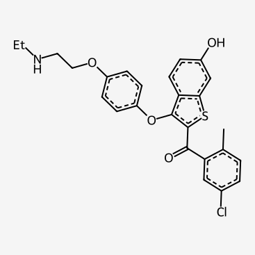 CCNCCOc1ccc(Oc2c(C(=O)c3cc(Cl)ccc3C)sc3cc(O)ccc23)cc1